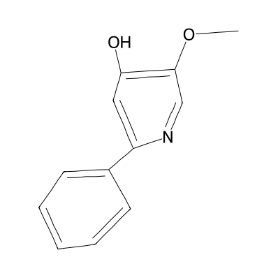 COc1cnc(-c2ccccc2)cc1O